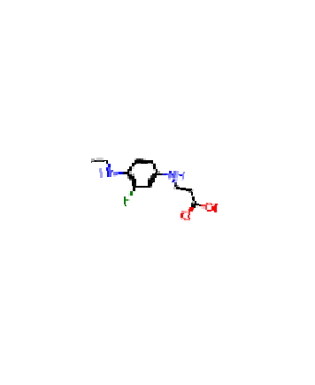 CCNc1ccc(NCCC(=O)O)cc1F